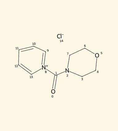 O=C(N1CCOCC1)[n+]1ccccc1.[Cl-]